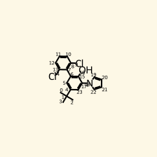 CC(C)(C)c1cc(-c2c(Cl)cccc2Cl)c(O)c(-n2cccc2)c1